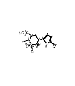 CN1[C@@H](C(=O)O)C[C@@H](c2ccc(Br)s2)NS1(=O)=O